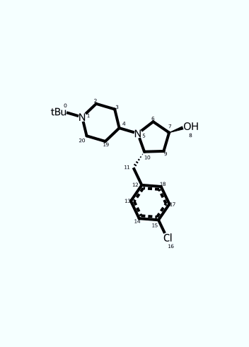 CC(C)(C)N1CCC(N2C[C@@H](O)C[C@@H]2Cc2ccc(Cl)cc2)CC1